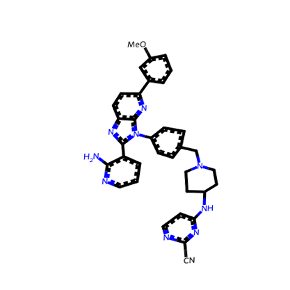 COc1cccc(-c2ccc3nc(-c4cccnc4N)n(-c4ccc(CN5CCC(Nc6ccnc(C#N)n6)CC5)cc4)c3n2)c1